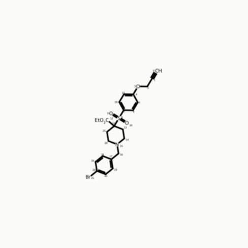 C#CCOc1ccc(S(=O)(=O)C2(C(=O)OCC)CCN(Cc3ccc(Br)cc3)CC2)cc1